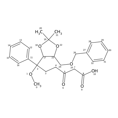 COC(CCC(=O)CC(=O)O)(c1ccccc1)C1OC(C)(C)OC1COCc1ccccc1